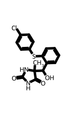 CC1(C(O)c2ccccc2Sc2ccc(Cl)cc2)NC(=O)NC1=O